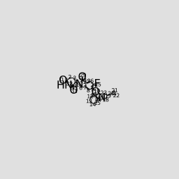 O=C1CCC(N2Cc3cc(O[C@H]4CCCC[C@@H]4N4CC(C5CC5)C4)c(F)cc3C2=O)C(=O)N1